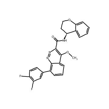 COc1c(C(=O)N[C@H]2CCOc3ccccc32)nnc2c(-c3ccc(F)c(F)c3)cccc12